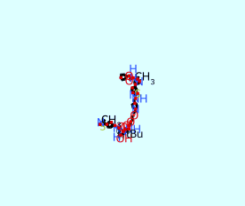 Cc1ncc(-c2ccc3nc(NCC4CCN(CCOCCOCC(=O)N[C@H](C(=O)N5C[C@H](O)C[C@H]5C(=O)NCc5ccc(-c6scnc6C)cc5)C(C)(C)C)CC4)sc3c2)cc1NC(=O)OC1CCCCC1